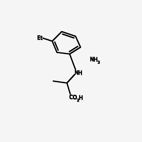 CCc1cccc(NC(C)C(=O)O)c1.N